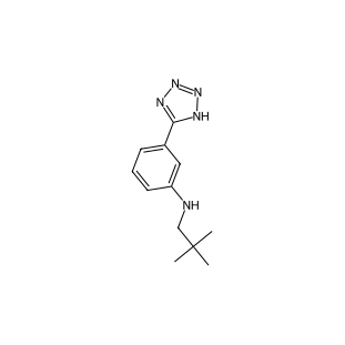 CC(C)(C)CNc1cccc(-c2nnn[nH]2)c1